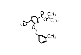 Cc1cccc(CCOc2cc(C(=O)OC(C)C)ccc2C2COC2)c1